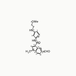 COCCNc1ccnc(NC(=O)c2cn(C)c3ccc(C=O)nc23)c1